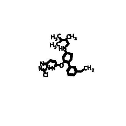 CCc1cccc(-c2ccc(NCC(C)C(C)C)cc2Oc2ccc3nnc(Cl)n3n2)c1